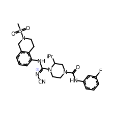 CC(C)C1CN(C(=O)Nc2cccc(F)c2)CCN1/C(=N\C#N)Nc1cccc2c1CCN(S(C)(=O)=O)C2